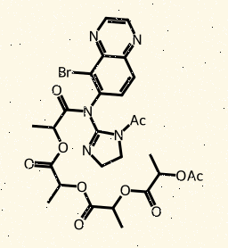 CC(=O)OC(C)C(=O)OC(C)C(=O)OC(C)C(=O)OC(C)C(=O)N(C1=NCCN1C(C)=O)c1ccc2nccnc2c1Br